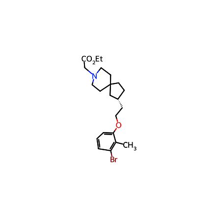 CCOC(=O)CN1CCC2(CC[C@H](CCOc3cccc(Br)c3C)C2)CC1